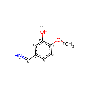 COc1ccc(C=N)cc1O